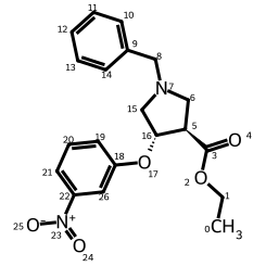 CCOC(=O)[C@@H]1CN(Cc2ccccc2)C[C@H]1Oc1cccc([N+](=O)[O-])c1